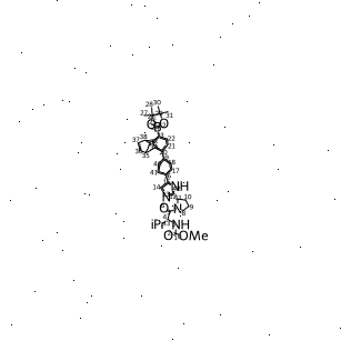 COC(=O)N[C@@H](C(=O)N1CCC[C@H]1c1ncc(-c2ccc(-c3ccc(B4OC(C)(C)C(C)(C)O4)c4c3C3C=CC4C3)cc2)[nH]1)C(C)C